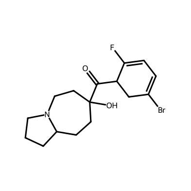 O=C(C1CC(Br)=CC=C1F)C1(O)CCC2CCCN2CC1